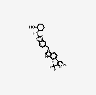 Cn1cc(-c2ccc3c(c2)ncn3Cc2ccc3nc(NC4CCCCC4O)sc3c2)c(C(F)(F)F)n1